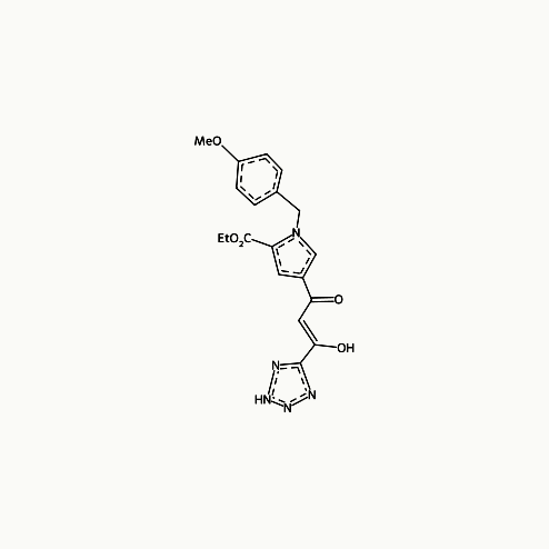 CCOC(=O)c1cc(C(=O)C=C(O)c2nn[nH]n2)cn1Cc1ccc(OC)cc1